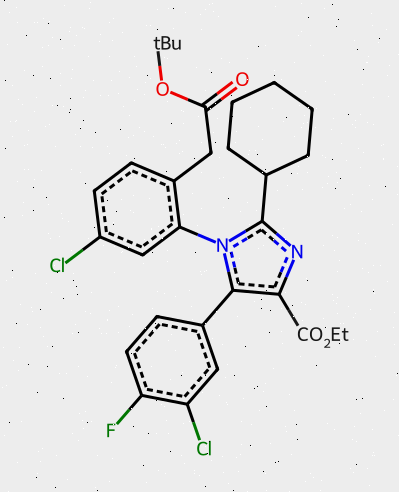 CCOC(=O)c1nc(C2CCCCC2)n(-c2cc(Cl)ccc2CC(=O)OC(C)(C)C)c1-c1ccc(F)c(Cl)c1